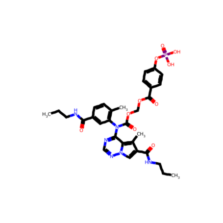 CCCNC(=O)c1ccc(C)c(N(C(=O)OCOC(=O)c2ccc(OP(=O)(O)O)cc2)c2ncnn3cc(C(=O)NCCC)c(C)c23)c1